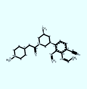 C=Nc1c([C@@H]2C[C@H](C)CN(C(=O)CC3CCN(C)CC3)C2)ccc(C#N)c1/N=C\C